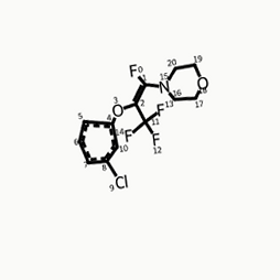 F/C(=C(\Oc1cccc(Cl)c1)C(F)(F)F)N1CCOCC1